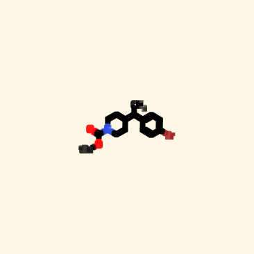 CC(c1ccc(Br)cc1)C1CCN(C(=O)OC(C)(C)C)CC1